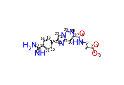 COC(=O)CCNC(=O)c1cc2nc(-c3ccc(C(=N)N)cc3)cn2cn1